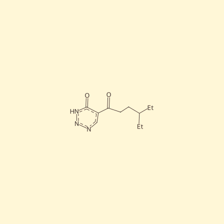 CCC(CC)CCC(=O)c1cnn[nH]c1=O